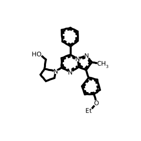 CCOc1ccc(-c2c(C)nn3c(-c4ccccc4)cc(N4CCCC4CO)nc23)cc1